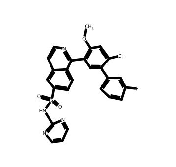 COc1cc(Cl)c(-c2cccc(F)c2)cc1-c1nccc2cc(S(=O)(=O)Nc3ncccn3)ccc12